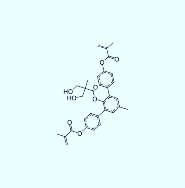 C=C(C)C(=O)Oc1ccc(-c2cc(C)cc(-c3ccc(OC(=O)C(=C)C)cc3)c2OC(=O)C(C)(CO)CO)cc1